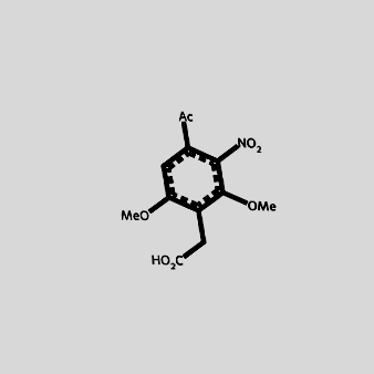 COc1cc(C(C)=O)c([N+](=O)[O-])c(OC)c1CC(=O)O